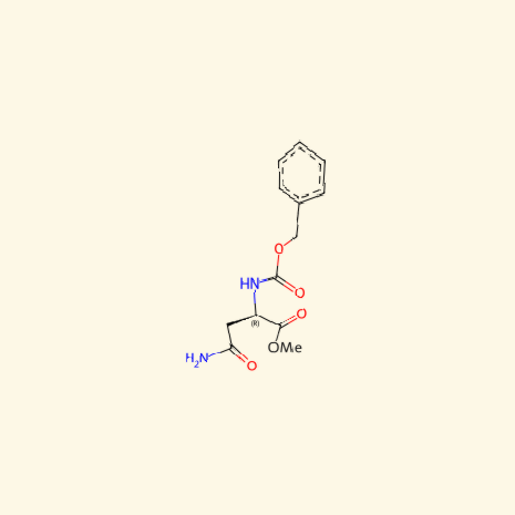 COC(=O)[C@@H](CC(N)=O)NC(=O)OCc1ccccc1